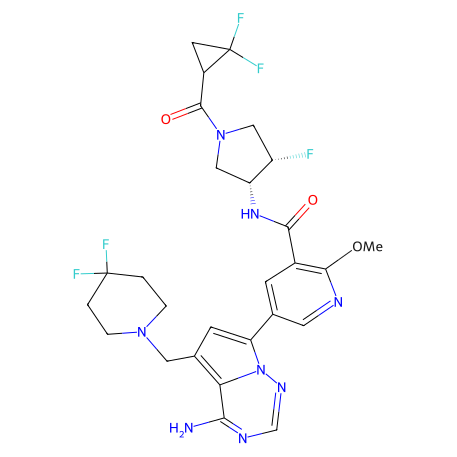 COc1ncc(-c2cc(CN3CCC(F)(F)CC3)c3c(N)ncnn23)cc1C(=O)N[C@@H]1CN(C(=O)C2CC2(F)F)C[C@@H]1F